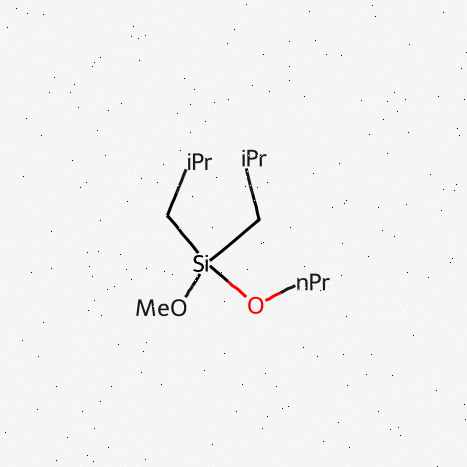 CCCO[Si](CC(C)C)(CC(C)C)OC